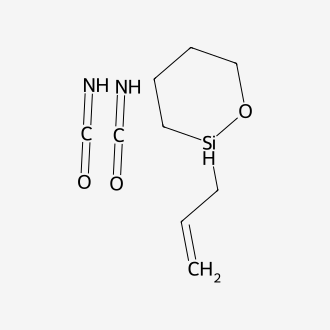 C=CC[SiH]1CCCCO1.N=C=O.N=C=O